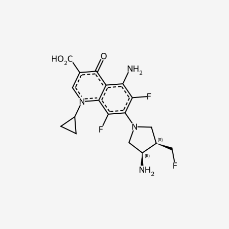 Nc1c(F)c(N2C[C@@H](CF)[C@@H](N)C2)c(F)c2c1c(=O)c(C(=O)O)cn2C1CC1